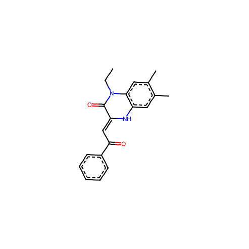 CCN1C(=O)/C(=C/C(=O)c2ccccc2)Nc2cc(C)c(C)cc21